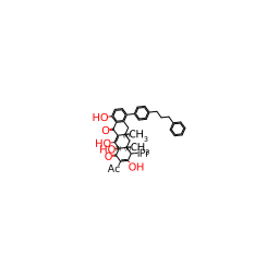 CC(=O)C1=C(O)C(C(C)C)[C@@]2(C)C[C@@]3(C)Cc4c(-c5ccc(CCCc6ccccc6)cc5)ccc(O)c4C(=O)C3=C(O)[C@@]2(O)C1=O